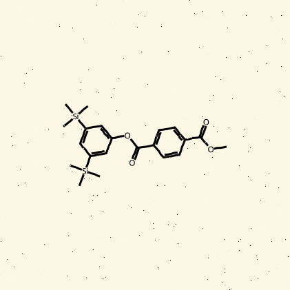 COC(=O)c1ccc(C(=O)Oc2cc([Si](C)(C)C)cc([Si](C)(C)C)c2)cc1